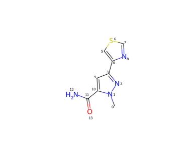 Cn1nc(-c2cscn2)cc1C(N)=O